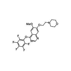 COc1cc2c(Oc3c(F)c(F)c(F)c(F)c3F)ncnc2cc1OCCN1CCOCC1